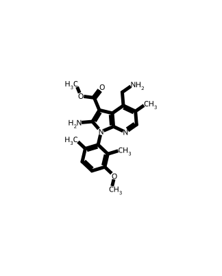 COC(=O)c1c(N)n(-c2c(C)ccc(OC)c2C)c2ncc(C)c(CN)c12